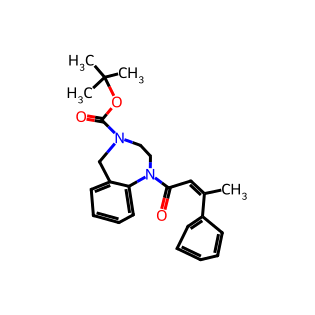 C/C(=C/C(=O)N1CCN(C(=O)OC(C)(C)C)Cc2ccccc21)c1ccccc1